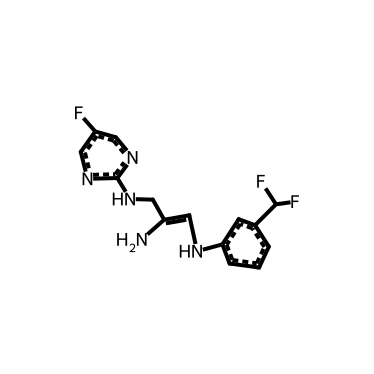 N/C(=C\Nc1cccc(C(F)F)c1)CNc1ncc(F)cn1